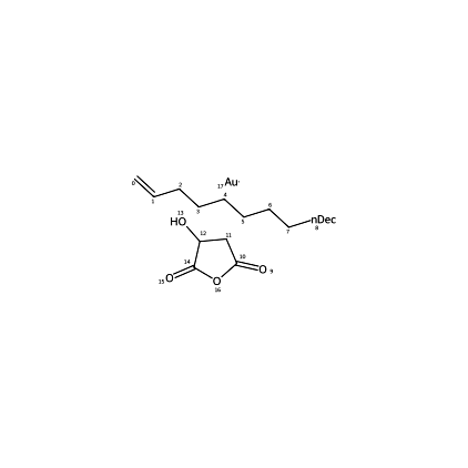 C=CCCCCCCCCCCCCCCCC.O=C1CC(O)C(=O)O1.[Au]